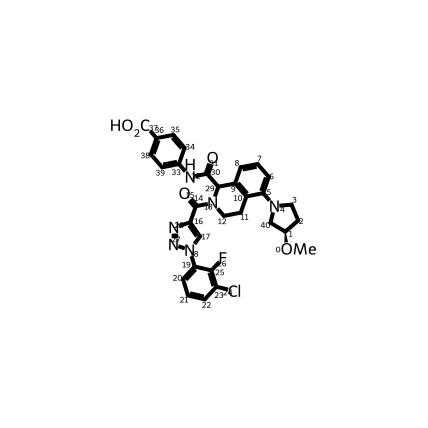 CO[C@@H]1CCN(c2cccc3c2CCN(C(=O)c2cn(-c4cccc(Cl)c4F)nn2)C3C(=O)Nc2ccc(C(=O)O)cc2)C1